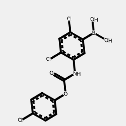 O=C(Nc1cc(B(O)O)c(Cl)cc1Cl)Oc1ccc(Cl)cc1